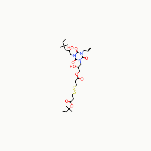 C=CCn1c(=O)n(CC(O)COC(=O)CCSSCCC(=O)OC(C)(C)CC)c(=O)n(CC(O)CC(C)(C)CC)c1=O